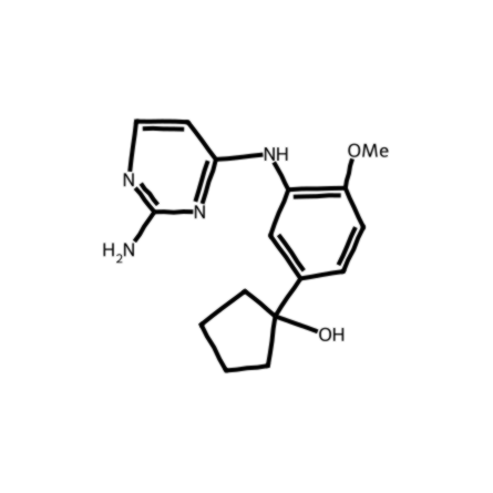 COc1ccc(C2(O)CCCC2)cc1Nc1ccnc(N)n1